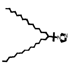 CCCCCCCCCCCCCCC(CCCCCCCCCCCCCC)C(C)(C)n1ccnc1